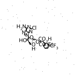 C#C[C@@H](O)[C@@H](O[C@@H](CO)COC(Cc1cccc(C(F)(F)F)c1)(C(=O)O)C(=O)OCC)n1cnc2c(N)nc(Cl)nc21